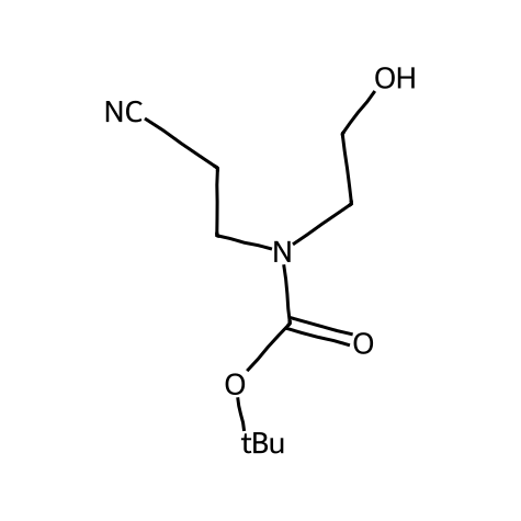 CC(C)(C)OC(=O)N(CCO)CCC#N